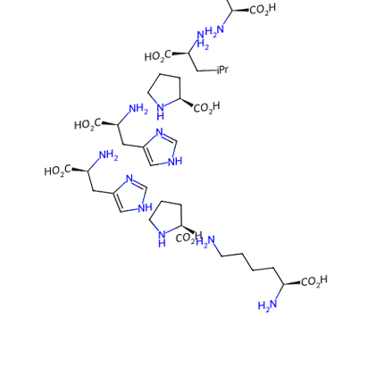 CC(C)C[C@H](N)C(=O)O.NCCCC[C@H](N)C(=O)O.N[C@@H](CS)C(=O)O.N[C@@H](Cc1c[nH]cn1)C(=O)O.N[C@@H](Cc1c[nH]cn1)C(=O)O.O=C(O)[C@@H]1CCCN1.O=C(O)[C@@H]1CCCN1